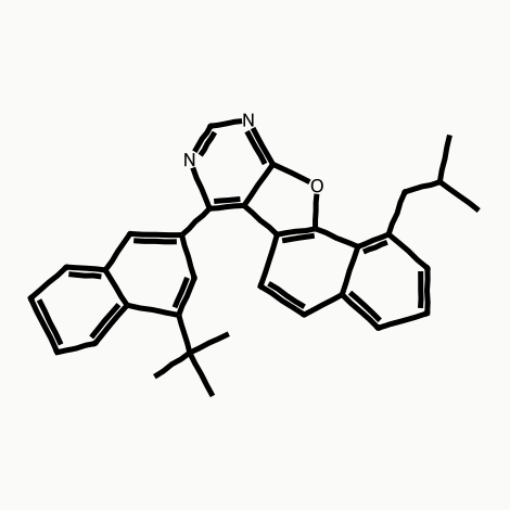 CC(C)Cc1cccc2ccc3c(oc4ncnc(-c5cc(C(C)(C)C)c6ccccc6c5)c43)c12